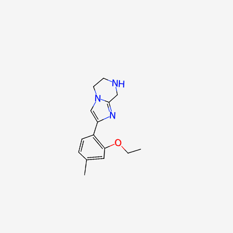 CCOc1cc(C)ccc1-c1cn2c(n1)CNCC2